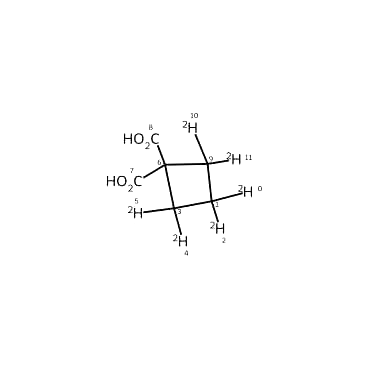 [2H]C1([2H])C([2H])([2H])C(C(=O)O)(C(=O)O)C1([2H])[2H]